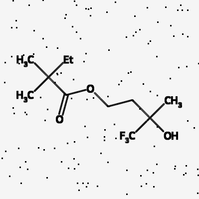 CCC(C)(C)C(=O)OCCC(C)(O)C(F)(F)F